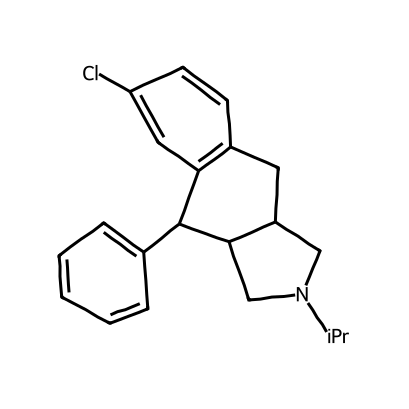 CC(C)N1CC2Cc3ccc(Cl)cc3C(c3ccccc3)C2C1